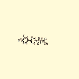 Cc1cc(C2=CCN(S(=O)(=O)C(C)(C)C(=O)O)CC2)ccc1Br